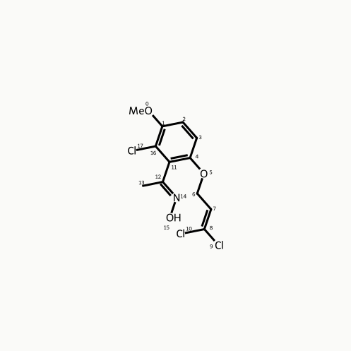 COc1ccc(OCC=C(Cl)Cl)c(C(C)=NO)c1Cl